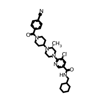 C[C@@H]1CN(c2ncc(C(=O)NCC3CCCCC3)cc2Cl)CCN1C1CCN(C(=O)c2ccc(C#N)cc2)CC1